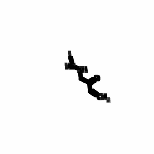 C=CC(=O)CNNI